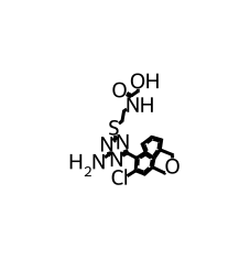 Nc1nc(SCCNC(=O)CO)nc(-c2c(Cl)cc3c4c(cccc24)COC3)n1